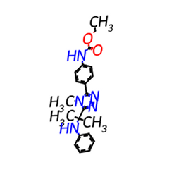 CCOC(=O)Nc1ccc(-c2nnc(C(C)(C)Nc3ccccc3)n2C)cc1